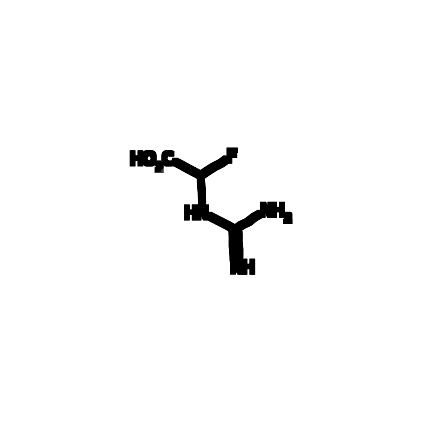 N=C(N)NC(F)C(=O)O